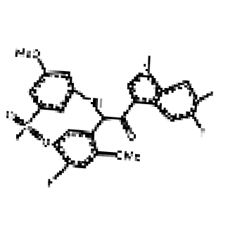 COc1cc(NC(C(=O)c2c[nH]c3cc(C)c(F)cc23)c2ccc(F)cc2OC)cc(S(C)(=O)=O)c1